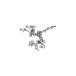 C#CCOCCOCCOCCNc1nc(N2CCN(C(=O)C([C@@H](C)CC)n3cc(C(N)COC(=O)C(F)(F)F)nn3)CC2)nc(N2CCN(C(=O)[C@H](CCCCN)n3cc(C(N)[C@H](C)CC)nn3)CC2)n1.Cl